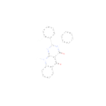 Cn1c2ccccc2c(=O)c2c(=O)n(-c3ccccc3)c(-c3ccccc3Cl)nc21